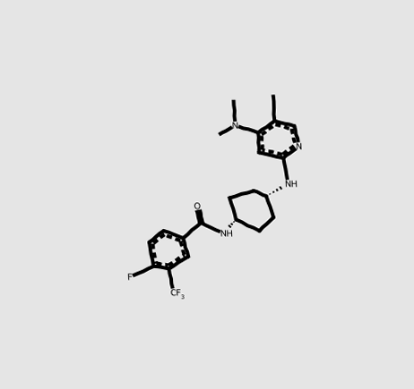 Cc1cnc(N[C@H]2CC[C@@H](NC(=O)c3ccc(F)c(C(F)(F)F)c3)CC2)cc1N(C)C